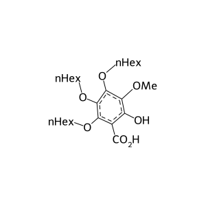 CCCCCCOc1c(OC)c(O)c(C(=O)O)c(OCCCCCC)c1OCCCCCC